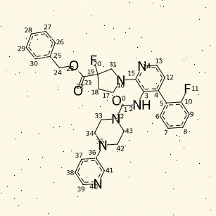 O=C(Nc1c(-c2ccccc2F)ccnc1N1CCC(F)(C(=O)OCc2ccccc2)C1)N1CCN(c2cccnc2)CC1